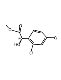 COC(=O)[C@H](O)c1ccc(Cl)cc1Cl